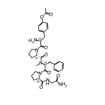 CC(=O)Oc1ccc(C[C@H](N)C(=O)N2CCC[C@H]2C(=O)N(C)[C@@H](Cc2ccccc2)C(=O)N2CCC[C@@H]2C(=O)NCC(N)=O)cc1